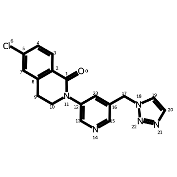 O=C1c2ccc(Cl)cc2CCN1c1cncc(Cn2ccnn2)c1